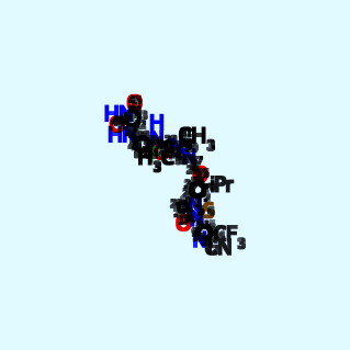 CC(C)c1cc(N2C(=S)N(c3cnc(C#N)c(C(F)(F)F)c3)C(=O)C23CCC3)ccc1OCCN1C[C@@H](C)N(CC(=O)Nc2cc(NC3CCC(=O)NC3=O)ccc2F)[C@@H](C)C1